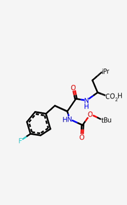 CC(C)CC(NC(=O)C(Cc1ccc(F)cc1)NC(=O)OC(C)(C)C)C(=O)O